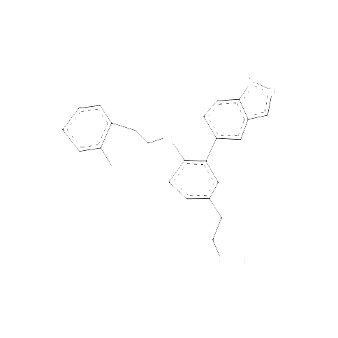 O=C(O)CCc1ccc(OCCc2ccccc2Cl)c(-c2ccc3[nH]ncc3c2)c1